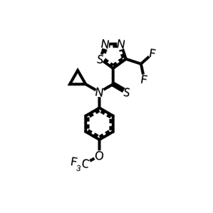 FC(F)c1nnsc1C(=S)N(c1ccc(OC(F)(F)F)cc1)C1CC1